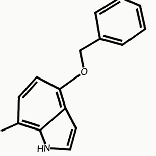 Brc1ccc(OCc2ccccc2)c2cc[nH]c12